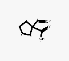 O=[C]C1(C(=O)O)CCCC1